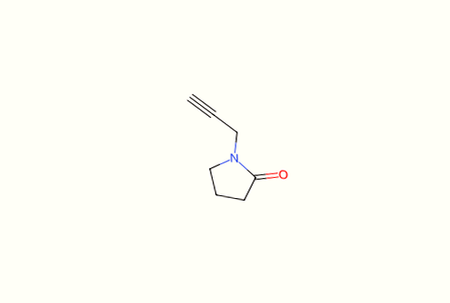 C#CCN1CCCC1=O